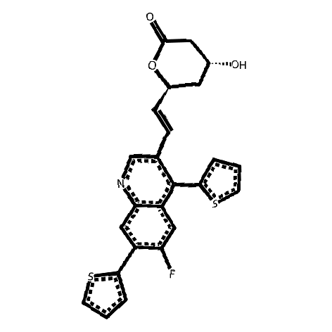 O=C1C[C@H](O)C[C@@H](/C=C/c2cnc3cc(-c4cccs4)c(F)cc3c2-c2cccs2)O1